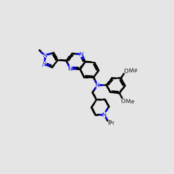 COc1cc(OC)cc(N(CC2CCN(C(C)C)CC2)c2ccc3ncc(-c4cnn(C)c4)nc3c2)c1